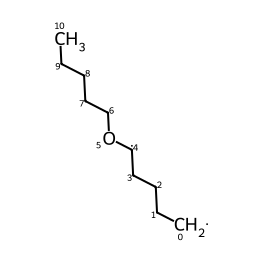 [CH2]CCC[CH]OCCCCC